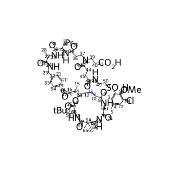 COc1ccc(C[C@H]2NC(=O)/C=C/C[C@@H](C(C)[C@H]3O[C@@H]3c3ccc(CNC(=O)C(C)NC(=O)C(NC(=O)CCN(CCC(=O)O)C(=O)CCC(=O)NCCS(=O)(=O)O)C(C)C)cc3)OC(=O)[C@H](CC(C)(C)C)NC(=O)C(C)(C)[C@H](C)NC2=O)cc1Cl